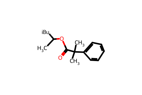 CCC(C)C(C)OC(=O)C(C)(C)c1ccccc1